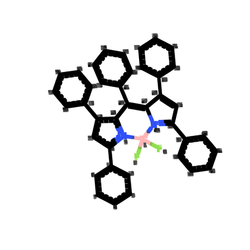 F[B-]1(F)n2c(-c3ccccc3)cc(-c3ccccc3)c2C(c2ccccc2)=C2C(c3ccccc3)=CC(c3ccccc3)=[N+]21